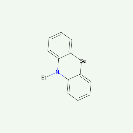 CCN1c2ccccc2[Se]c2ccccc21